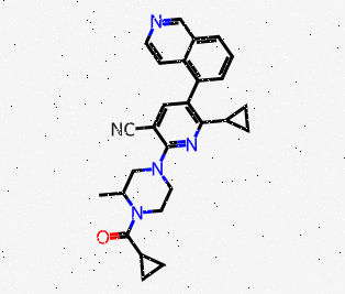 CC1CN(c2nc(C3CC3)c(-c3cccc4cnccc34)cc2C#N)CCN1C(=O)C1CC1